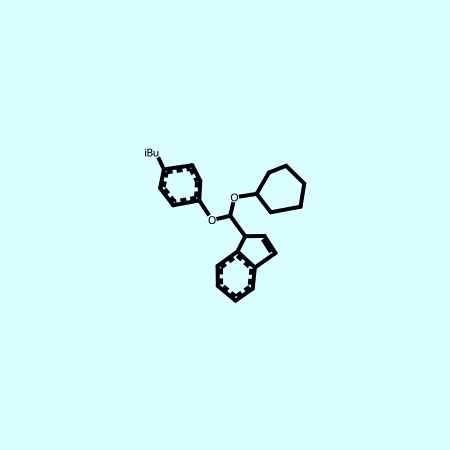 CCC(C)c1ccc(OC(OC2CCCCC2)C2C=Cc3ccccc32)cc1